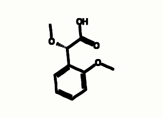 COc1ccccc1[C@H](OC)C(=O)O